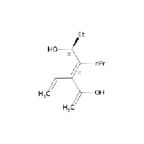 C=C/C(C(=C)O)=C(/CCC)[C@@H](O)CC